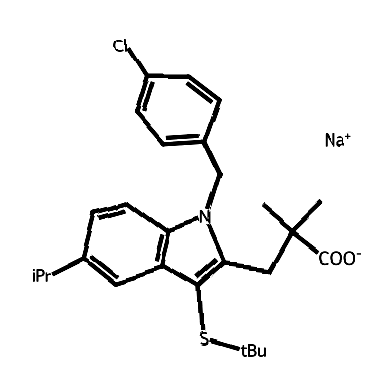 CC(C)c1ccc2c(c1)c(SC(C)(C)C)c(CC(C)(C)C(=O)[O-])n2Cc1ccc(Cl)cc1.[Na+]